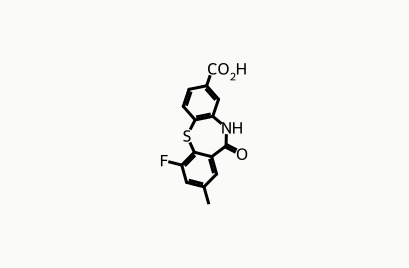 Cc1cc(F)c2c(c1)C(=O)Nc1cc(C(=O)O)ccc1S2